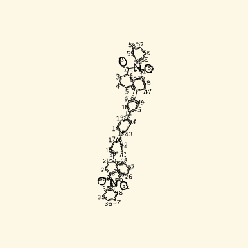 O=C1c2cccc3c(-c4ccc(-c5ccc(-c6ccc(-c7ccc8c9c(cccc79)C(=O)N(c7ccccc7)C8=O)cc6)cc5)cc4)ccc(c23)C(=O)N1c1ccccc1